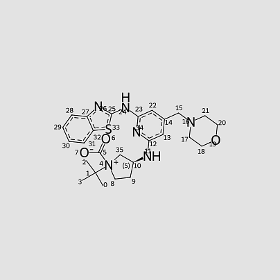 CC(C)(C)[N+]1(C(=O)[O-])CC[C@H](Nc2cc(CN3CCOCC3)cc(Nc3nc4ccccc4s3)n2)C1